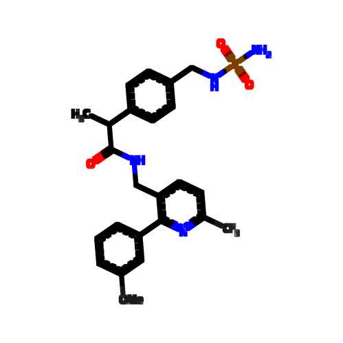 COc1cccc(-c2nc(C(F)(F)F)ccc2CNC(=O)C(C)c2ccc(CNS(N)(=O)=O)cc2)c1